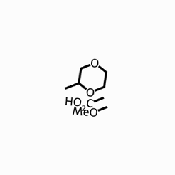 CC(=O)O.CC1COCCO1.COC